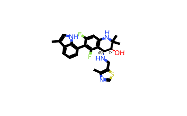 Cc1ncsc1CN[C@@H]1c2c(cc(F)c(-c3cccc4c(C)c[nH]c34)c2F)NC(C)(C)[C@H]1O